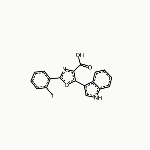 O=C(O)c1nc(-c2ccccc2I)oc1-c1c[nH]c2ccccc12